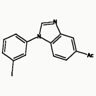 CC(=O)c1ccc2c(c1)ncn2-c1cccc(I)c1